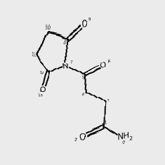 NC(=O)CCC(=O)N1C(=O)CCC1=O